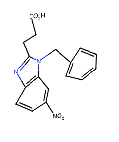 O=C(O)CCc1nc2ccc([N+](=O)[O-])cc2n1Cc1ccccc1